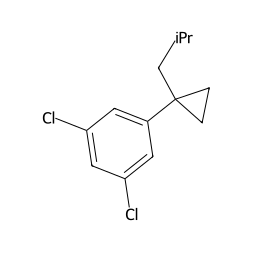 CC(C)CC1(c2cc(Cl)cc(Cl)c2)CC1